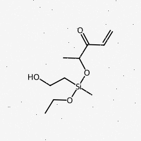 C=CC(=O)C(C)O[Si](C)(CCO)OCC